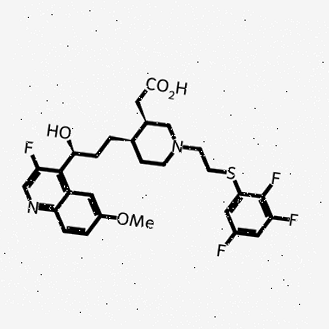 COc1ccc2ncc(F)c([C@@H](O)CC[C@@H]3CCN(CCSc4cc(F)cc(F)c4F)C[C@@H]3CC(=O)O)c2c1